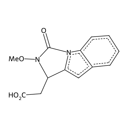 CON1C(=O)n2c(cc3ccccc32)C1CC(=O)O